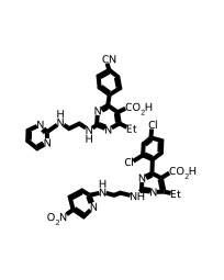 CCc1nc(NCCNc2ccc([N+](=O)[O-])cn2)nc(-c2ccc(Cl)cc2Cl)c1C(=O)O.CCc1nc(NCCNc2ncccn2)nc(-c2ccc(C#N)cc2)c1C(=O)O